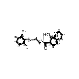 O=C(NCCSCc1c(F)cccc1Cl)c1ccc2cccnc2c1O